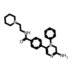 NC1=NC=C(c2ccc(C(=O)NCCN3CCCCC3)cc2)N(c2ccccc2)C1